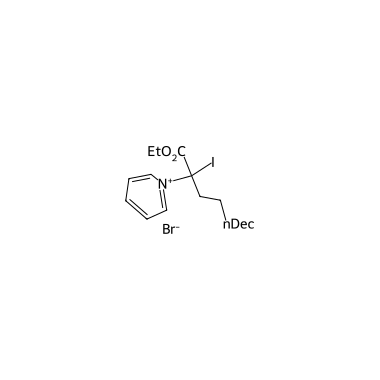 CCCCCCCCCCCCC(I)(C(=O)OCC)[n+]1ccccc1.[Br-]